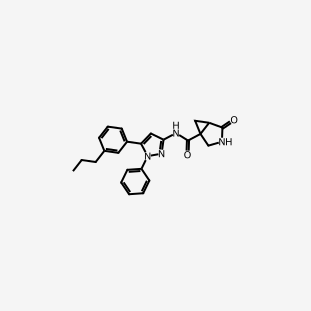 CCCc1cccc(-c2cc(NC(=O)C34CNC(=O)C3C4)nn2-c2ccccc2)c1